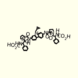 O=C(O)NC(C(=O)N1CCC[C@H]1C(=O)Nc1ccc2c3ccc(NC(=O)[C@@H]4CCCN4C(=O)C(NC(=O)O)c4ccccc4)cc3n(CC3CC3)c2c1)c1ccccc1